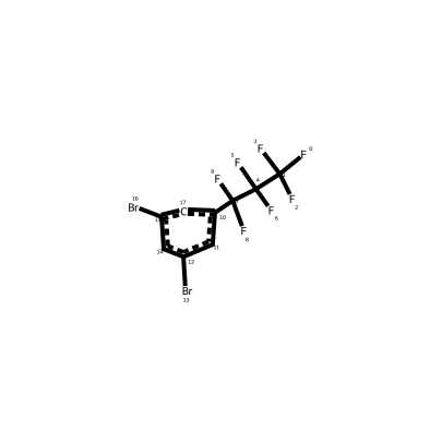 FC(F)(F)C(F)(F)C(F)(F)c1cc(Br)[c]c(Br)c1